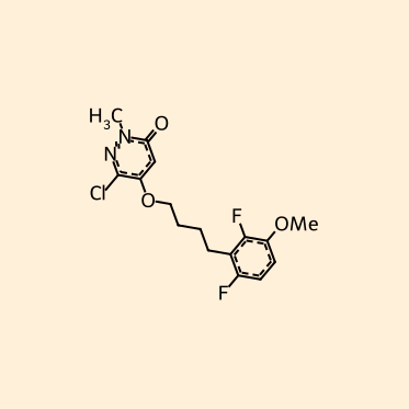 COc1ccc(F)c(CCCCOc2cc(=O)n(C)nc2Cl)c1F